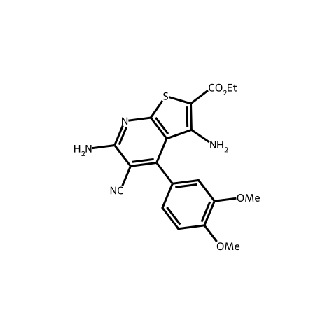 CCOC(=O)c1sc2nc(N)c(C#N)c(-c3ccc(OC)c(OC)c3)c2c1N